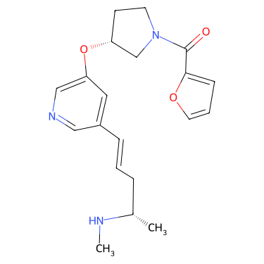 CN[C@@H](C)CC=Cc1cncc(O[C@@H]2CCN(C(=O)c3ccco3)C2)c1